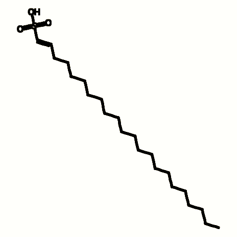 CCCCCCCCCCCCCCCCCCCCC=CS(=O)(=O)O